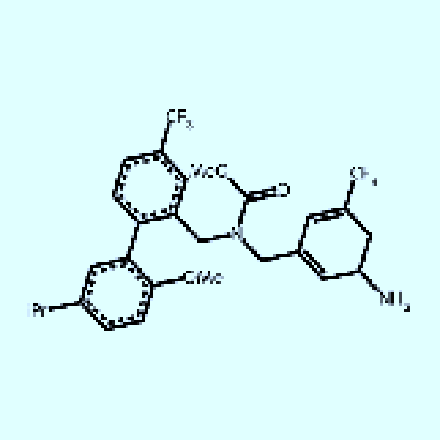 COC(=O)N(CC1=CC(N)CC(C(F)(F)F)=C1)Cc1cc(C(F)(F)F)ccc1-c1cc(C(C)C)ccc1OC